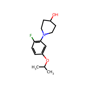 CC(C)Oc1ccc(F)c(N2CCC(O)CC2)c1